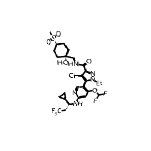 CCn1nc(C(=O)NC[C@]2(O)CC[C@@H](S(C)(=O)=O)CC2)c(Cl)c1-c1cnc(N[C@H](CC(F)(F)F)C2CC2)cc1OC(F)F